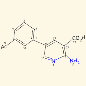 CC(=O)c1cccc(-c2cnc(N)c(C(=O)O)c2)c1